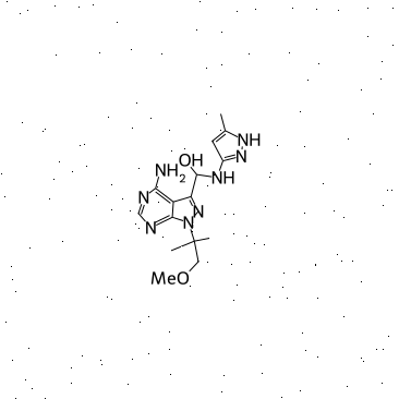 COCC(C)(C)n1nc(C(O)Nc2cc(C)[nH]n2)c2c(N)ncnc21